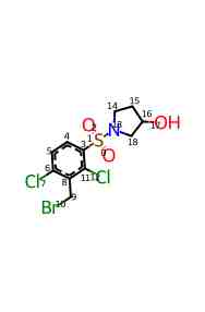 O=S(=O)(c1ccc(Cl)c(CBr)c1Cl)N1CCC(O)C1